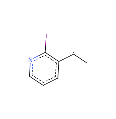 C[CH]c1cccnc1I